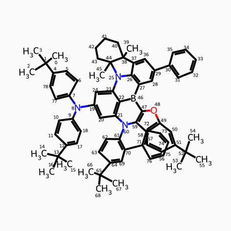 CC(C)(C)c1ccc(N(c2ccc(C(C)(C)C)cc2)c2cc3c4c(c2)N2c5c(cc(-c6ccccc6)cc5C5(C)CCCCC25C)B4c2oc4cc(C(C)(C)C)ccc4c2N3c2ccc(C(C)(C)C)cc2-c2ccccc2)cc1